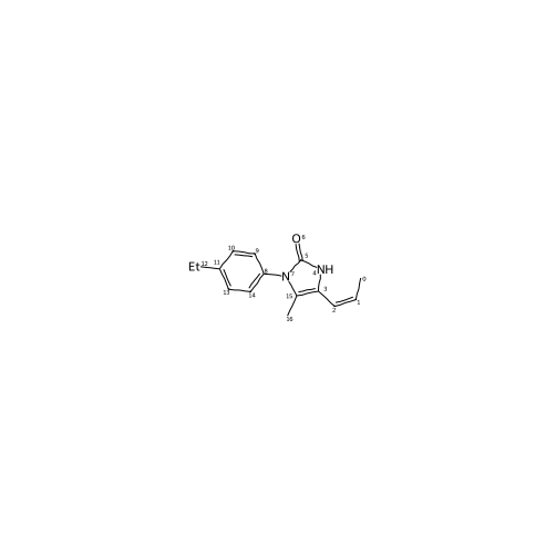 C/C=C\c1[nH]c(=O)n(-c2ccc(CC)cc2)c1C